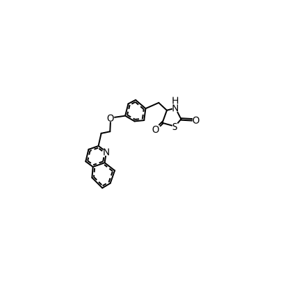 O=C1NC(Cc2ccc(OCCc3ccc4ccccc4n3)cc2)C(=O)S1